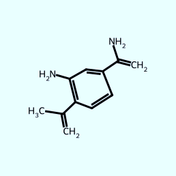 C=C(N)c1ccc(C(=C)C)c(N)c1